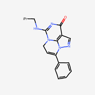 CC(C)CNc1nc(=O)c2cnn3c2n1CC=C3c1ccccc1